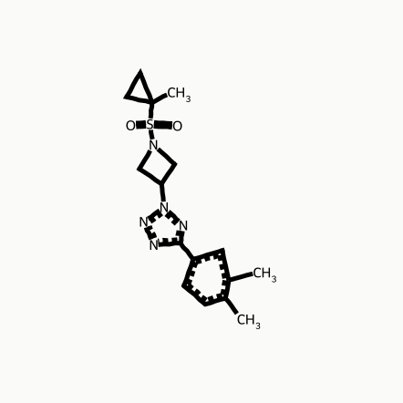 Cc1ccc(-c2nnn(C3CN(S(=O)(=O)C4(C)CC4)C3)n2)cc1C